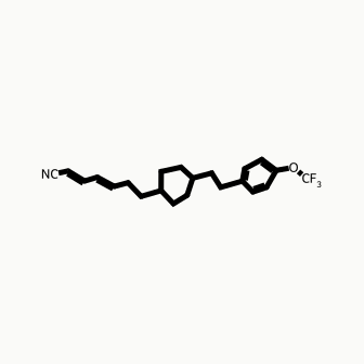 N#CC=CC=CCCC1CCC(CCc2ccc(OC(F)(F)F)cc2)CC1